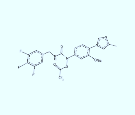 COc1cc(N(OC(=O)C(F)(F)F)C(=O)NCc2cc(F)c(F)c(F)c2)ccc1-n1cnc(C)c1